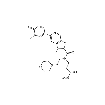 CNC(=O)CCN(CCN1CCOCC1)C(=O)c1sc2ccc(-c3ccc(=O)n(C)c3)cc2c1C